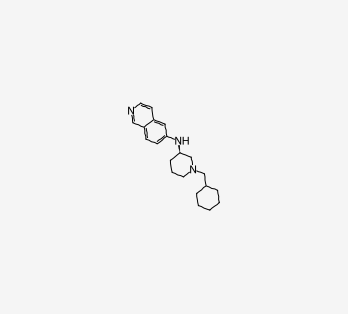 c1cc2cc(N[C@@H]3CCCN(CC4CCCCC4)C3)ccc2cn1